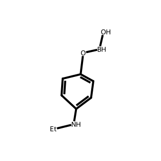 CCNc1ccc(OBO)cc1